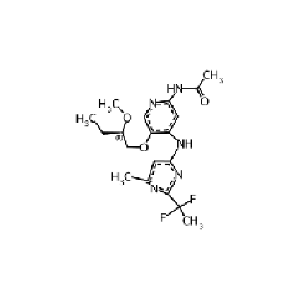 CC[C@H](COc1cnc(NC(C)=O)cc1Nc1cc(C)nc(C(C)(F)F)n1)OC